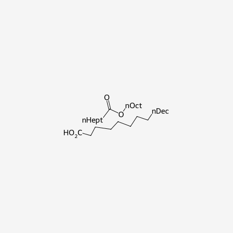 CCCCCCCCCCCCCCCCCC(=O)O.CCCCCCCCOC(=O)CCCCCCC